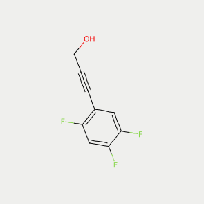 OCC#Cc1cc(F)c(F)cc1F